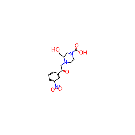 O=C(CN1CCN(C(=O)O)CC1CO)c1cccc([N+](=O)[O-])c1